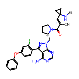 CCNC1(/C=C(\C#N)C(=O)N2CCC[C@H]2Cn2nc(-c3ccc(Oc4ccccc4)cc3F)c3c(N)ncnc32)CC1